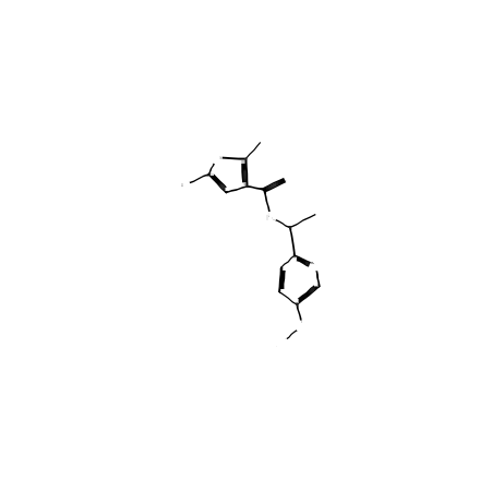 Cc1oc(C(C)(C)C)cc1C(=O)NC(C)c1ccc(OC(F)(F)F)cn1